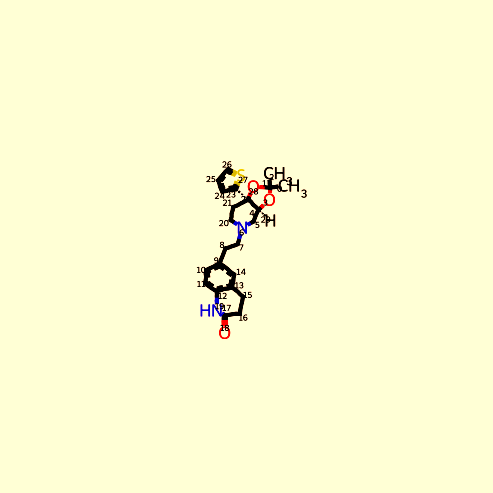 CC1(C)O[C@H]2CN(CCc3ccc4c(c3)CCC(=O)N4)CC[C@@]2(c2cccs2)O1